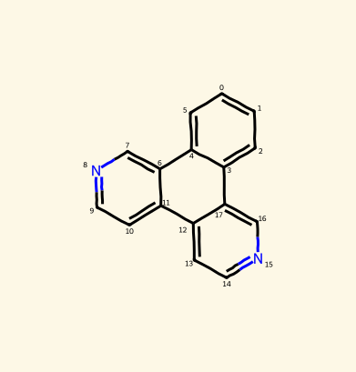 c1ccc2c(c1)c1cnccc1c1ccncc21